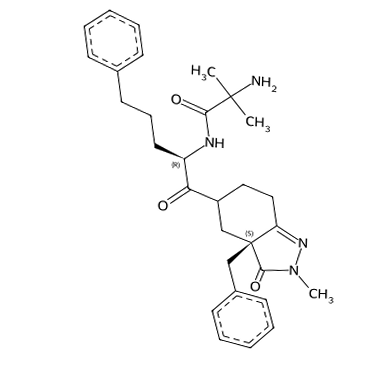 CN1N=C2CCC(C(=O)[C@@H](CCCc3ccccc3)NC(=O)C(C)(C)N)C[C@@]2(Cc2ccccc2)C1=O